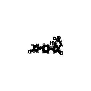 O=S1(=O)CCn2c(Cl)cc(-c3ccc(-n4cc(Cl)cn4)cc3)c2N1